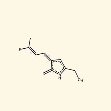 C=c1[nH]c(CO)c/c1=C/C=C(\C)F